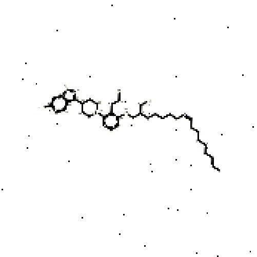 CCCCCCCC/C=C\CCCCCC(CS)COc1[c]ccc(N2CCC(c3noc4cc(F)ccc34)CC2)c1CCC